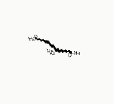 Cl.O=C(O)CCCCCCCCCCCCCCCCC(=O)O